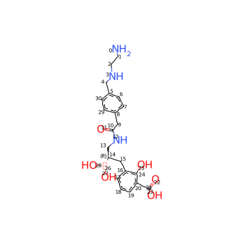 NCCNCc1ccc(CC(=O)NC[C@@H](Cc2cccc(C(=O)O)c2O)B(O)O)cc1